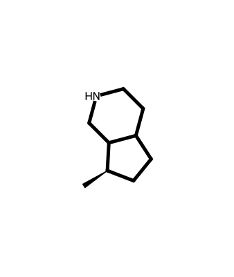 C[C@@H]1CCC2CCNCC21